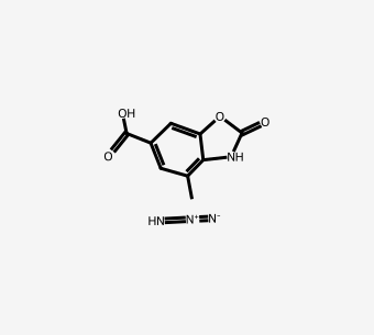 Cc1cc(C(=O)O)cc2oc(=O)[nH]c12.[N-]=[N+]=N